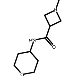 CN1CC(C(=O)NC2CCOCC2)C1